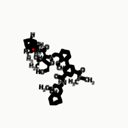 COc1c(CN2O[C@@H](CO)[C@H]([C@H](C)O)[C@H]2C(=O)N[C@H]2C[C@H]3C[C@@H]([C@@H]2C)C3(C)C)cccc1-c1cc(C(=O)NC(Cc2ccccc2)CN(C)C)cc(C(=O)N(C)C)c1